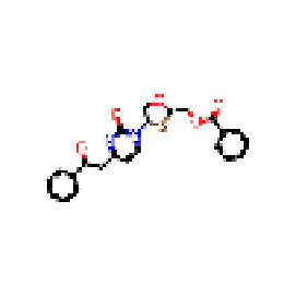 O=C(Cc1ccn([C@H]2CO[C@@H](COC(=O)c3ccccc3)S2)c(=O)n1)c1ccccc1